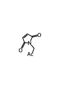 [CH2]C(=O)CN1C(=O)C=CC1=O